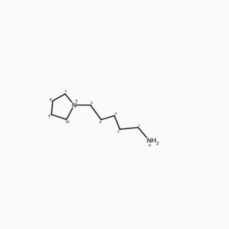 NCCCCCN1CCCC1